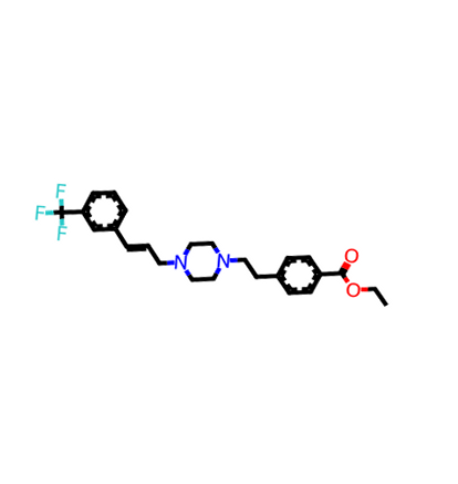 CCOC(=O)c1ccc(CCN2CCN(C/C=C/c3cccc(C(F)(F)F)c3)CC2)cc1